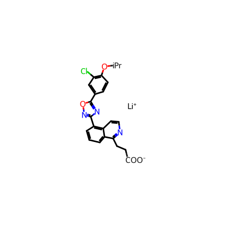 CC(C)Oc1ccc(-c2nc(-c3cccc4c(CCC(=O)[O-])nccc34)no2)cc1Cl.[Li+]